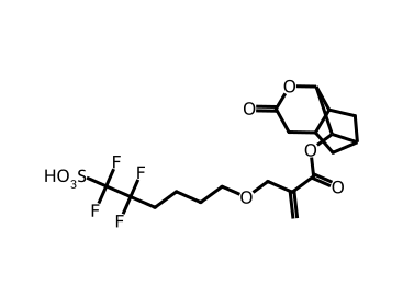 C=C(COCCCCC(F)(F)C(F)(F)S(=O)(=O)O)C(=O)OC1C2CC3CC(=O)OC1C3C2